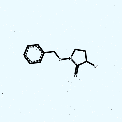 O=C1C(Br)CCN1OCc1ccccc1